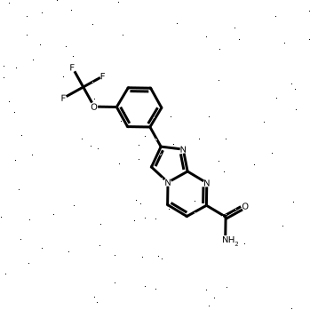 NC(=O)c1ccn2cc(-c3cccc(OC(F)(F)F)c3)nc2n1